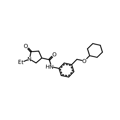 CCN1CC(C(=O)Nc2cccc(COC3CCCCC3)c2)CC1=O